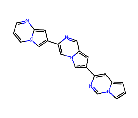 c1cc2cc(-c3cc4cnc(-c5cc6ncccn6c5)cn4c3)ncn2c1